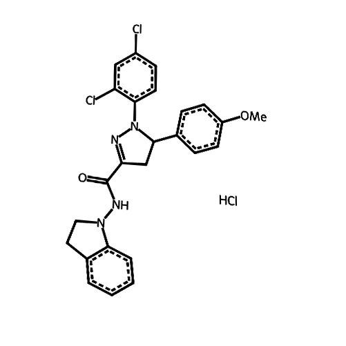 COc1ccc(C2CC(C(=O)NN3CCc4ccccc43)=NN2c2ccc(Cl)cc2Cl)cc1.Cl